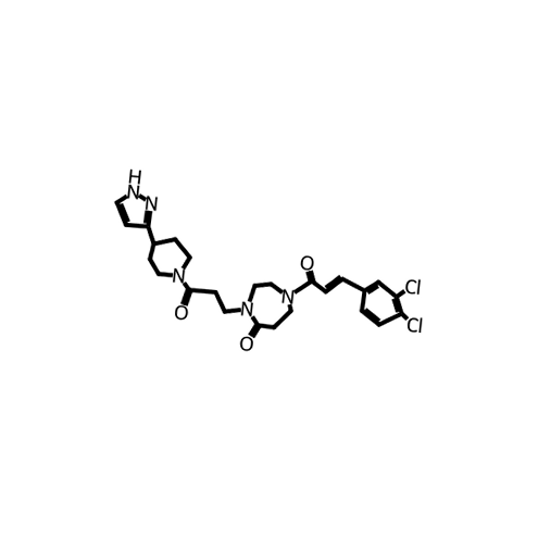 O=C(C=Cc1ccc(Cl)c(Cl)c1)N1CCC(=O)N(CCC(=O)N2CCC(c3cc[nH]n3)CC2)CC1